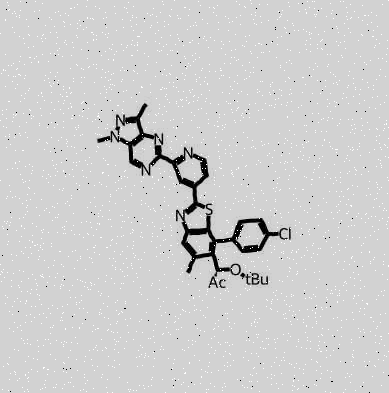 CC(=O)[C@@H](OC(C)(C)C)c1c(C)cc2nc(-c3ccnc(-c4ncc5c(n4)c(C)nn5C)c3)sc2c1-c1ccc(Cl)cc1